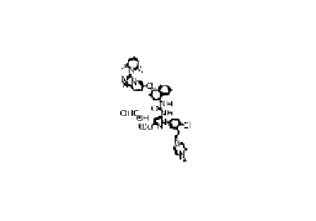 C[C@@H]1CCC[C@H](C)N1c1nnc2ccc(O[C@@H]3CC[C@H](NC(=O)Nc4cc(C(C)(C)C)nn4-c4ccc(Cl)c(CCN5CCN(C)CC5)c4)c4ccccc43)cn12.O=CO